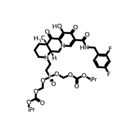 CC(C)OC(=O)OCOP(=O)(CCN1CCC[C@]2(C)C(=O)c3c(O)c(=O)c(C(=O)NCc4ccc(F)cc4F)cn3C[C@H]12)OCOC(=O)OC(C)C